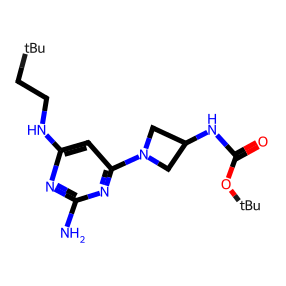 CC(C)(C)CCNc1cc(N2CC(NC(=O)OC(C)(C)C)C2)nc(N)n1